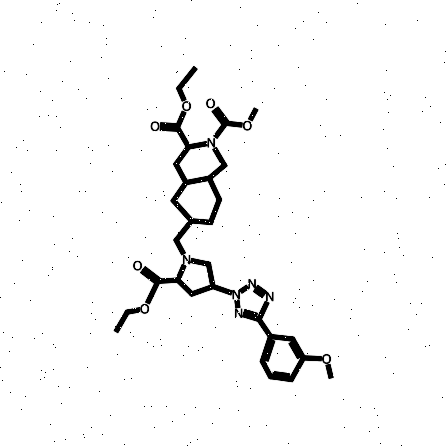 CCOC(=O)C1CC(n2nnc(-c3cccc(OC)c3)n2)CN1CC1CCC2CN(C(=O)OC)C(C(=O)OCC)CC2C1